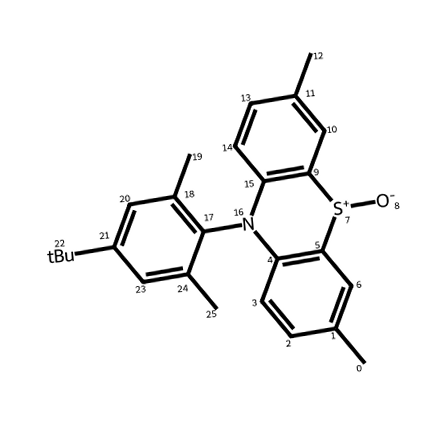 Cc1ccc2c(c1)[S+]([O-])c1cc(C)ccc1N2c1c(C)cc(C(C)(C)C)cc1C